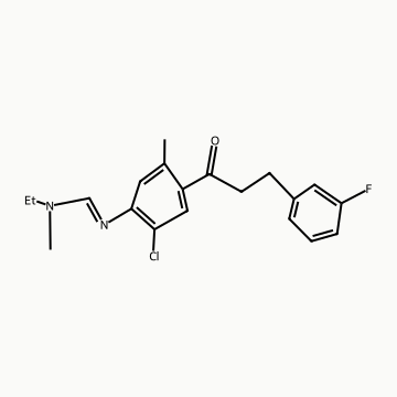 CCN(C)C=Nc1cc(C)c(C(=O)CCc2cccc(F)c2)cc1Cl